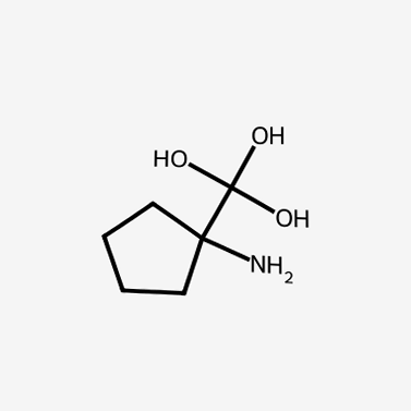 NC1(C(O)(O)O)CCCC1